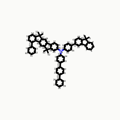 CC1(C)c2ccccc2-c2cc(-c3ccc(N(c4ccc(-c5ccc(-c6ccccc6)cc5)cc4)c4ccc5c(c4)C(C)(C)c4cc6c(cc4-5)C(C)(C)c4cccc(-c5ccccc5)c4-6)cc3)ccc21